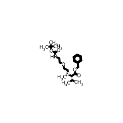 CC(C)[C@@H](C(=O)OCc1ccccc1)N(C)CCOCCNC(=O)OC(C)(C)C